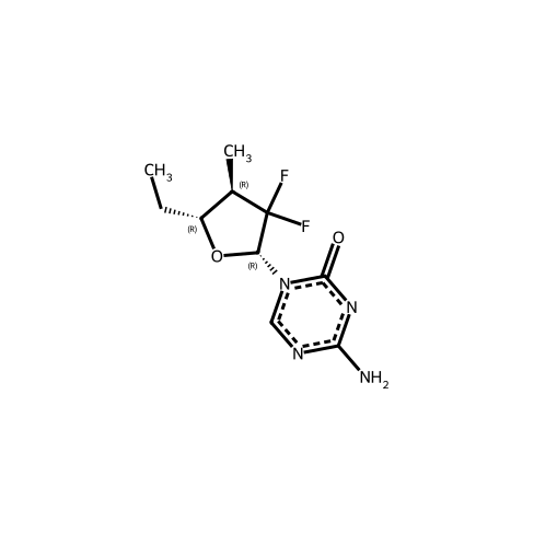 CC[C@H]1O[C@@H](n2cnc(N)nc2=O)C(F)(F)[C@@H]1C